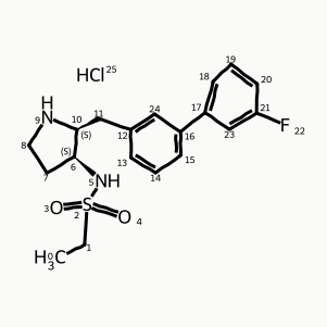 CCS(=O)(=O)N[C@H]1CCN[C@H]1Cc1cccc(-c2cccc(F)c2)c1.Cl